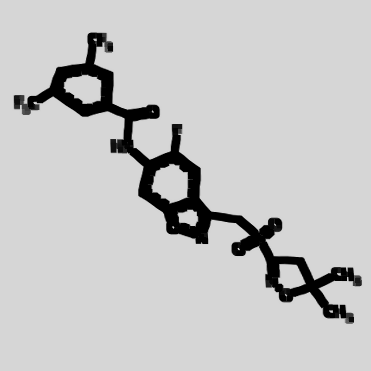 CC1(C)CC(S(=O)(=O)Cc2noc3cc(NC(=O)c4cc(C(F)(F)F)cc(C(F)(F)F)c4)c(F)cc23)=NO1